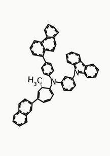 C[C@H]1C=C(c2ccc3ccccc3c2)C=CC=C1N(c1ccc(-c2cccc3c2ccc2ccccc23)cc1)c1cccc(-n2c3ccccc3c3ccccc32)c1